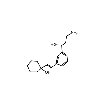 NCC[C@@H](O)c1cccc(/C=C/C2(O)CCCCC2)c1